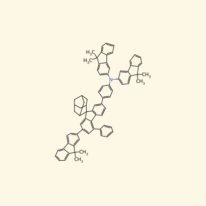 CC1(C)c2ccccc2-c2cc(N(c3ccc(-c4ccc5c(c4)C4(c6cc(-c7ccc8c(c7)C(C)(C)c7ccccc7-8)cc(-c7ccccc7)c6-5)C5CC6CC(C5)CC4C6)cc3)c3ccc4c(c3)-c3ccccc3C4(C)C)ccc21